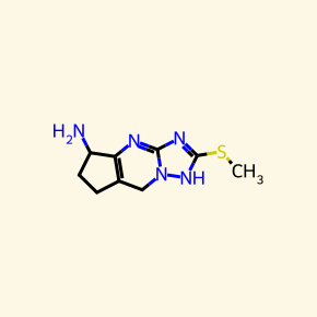 CSC1=NC2=NC3=C(CCC3N)CN2N1